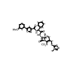 COc1cccc(-c2cc(C(=O)NC(C(=O)N[C@@H]3C(=O)N4C(C(=O)O)=C(CSc5nnnn5C)CS[C@@H]34)c3ccccc3)no2)c1